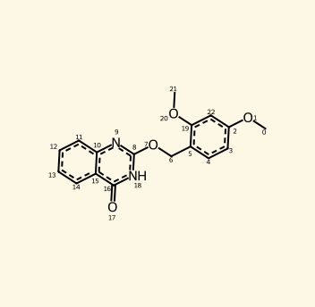 COc1ccc(COc2nc3ccccc3c(=O)[nH]2)c(OC)c1